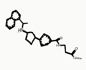 COC(=O)CCNC(=O)c1ccc(C2CCC(NC(C)c3cccc4ccccc34)C2)cc1